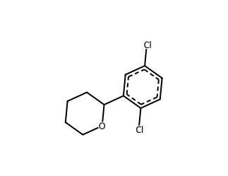 Clc1ccc(Cl)c(C2CCCCO2)c1